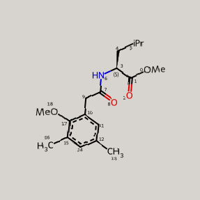 COC(=O)[C@H](CC(C)C)NC(=O)Cc1cc(C)cc(C)c1OC